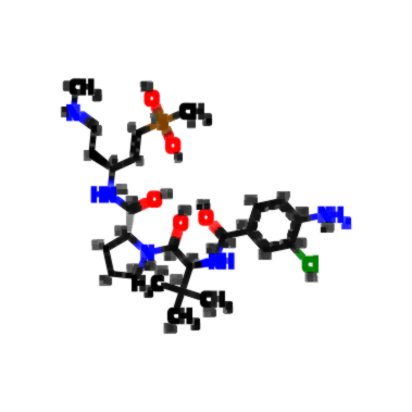 C/N=C/C[C@@H](/C=C/S(C)(=O)=O)NC(=O)[C@H]1CCCN1C(=O)[C@@H](NC(=O)c1ccc(N)c(Cl)c1)C(C)(C)C